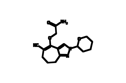 N#CC1=C(OCC(N)=O)c2cn(C3CCCCO3)nc2CCC1